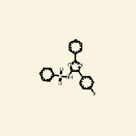 O=S(=O)(Nc1oc(-c2ccccc2)nc1-c1ccc(F)cc1)c1ccccc1